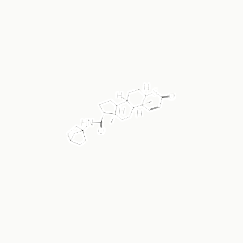 C[C@]12C=CC(=O)S[C@@H]1CC[C@@H]1[C@@H]2CC[C@]2(C)[C@@H](C(=O)NC34CCC(CC3)C4)CC[C@@H]12